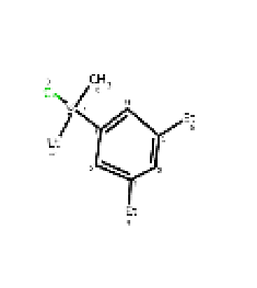 CCc1cc(CC)cc([Si](C)(Cl)CC)c1